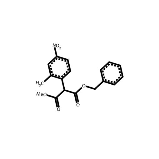 COC(=O)C(C(=O)OCc1ccccc1)c1ccc([N+](=O)[O-])cc1C